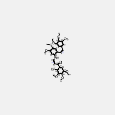 COc1cc(/C=C\c2cc(OC)c(OC)c(OC)c2)c(N/C=C\C(=O)c2cc(OC)c(OC)c(OC)c2Br)cc1OC